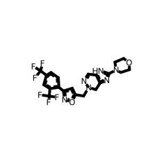 FC(F)(F)c1ccc(-c2cc(CN3Cc4nc(N5CCOCC5)[nH]c4C=N3)on2)c(C(F)(F)F)c1